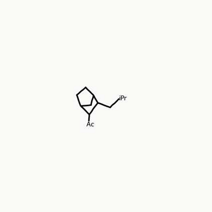 CC(=O)C1C2CCC(C2)C1CC(C)C